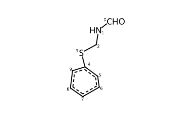 O=CNCSc1ccccc1